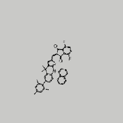 Cc1cc(C)c(-c2ccc3c(c2)C(C)(C)c2cc(C=C4C(=O)c5c(F)ccc(F)c5C4=O)sc2N3c2cccc3ccccc23)c(C)c1